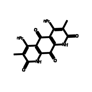 CCCc1c2c([nH]c(=O)c1C)C(=O)c1[nH]c(=O)c(C)c(CCC)c1C2=O